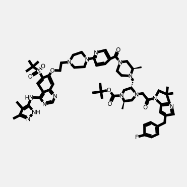 Cc1n[nH]c(Nc2ncnc3cc(OCCN4CCN(c5ccc(C(=O)N6CCN(C[C@H]7CN(C(=O)OC(C)(C)C)[C@H](C)CN7CC(=O)N7CC(C)(C)c8ncc(Cc9ccc(F)cc9)cc87)[C@H](C)C6)cn5)CC4)c(S(=O)(=O)C(C)(C)C)cc23)c1C